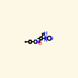 C#Cc1ccc(C2CCN(C(=O)c3cc(-c4nc5c([nH]4)CCN(C)CC5)c(C4CCC4)cc3C)CC2)cc1